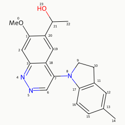 COc1cc2nncc(N3CCc4cc(C)ccc43)c2cc1C(C)O